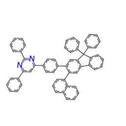 c1ccc(-c2cc(-c3ccc(-c4cc5c(cc4-c4cccc6ccccc46)-c4ccccc4C5(c4ccccc4)c4ccccc4)cc3)nc(-c3ccccc3)n2)cc1